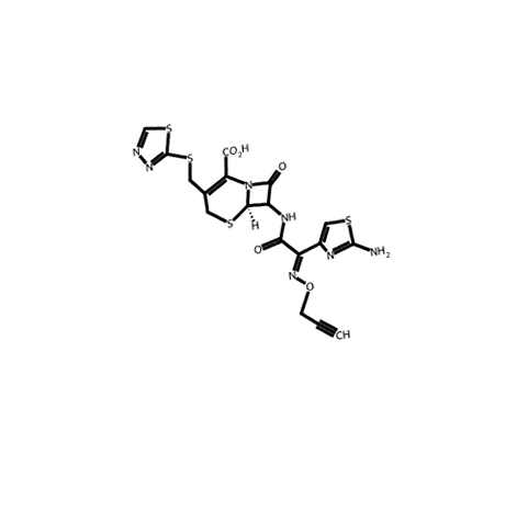 C#CCO/N=C(/C(=O)NC1C(=O)N2C(C(=O)O)=C(CSc3nncs3)CS[C@H]12)c1csc(N)n1